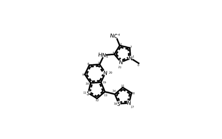 Cn1cc(C#N)c(Nc2ccc3scc(-c4ccns4)c3n2)n1